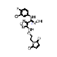 O=C1C=CC(=O)N1CCONc1nonc1/C(=N/O)Nc1ccc(F)c(Cl)c1